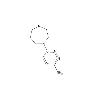 CN1CCCN(c2ccc(N)nn2)CC1